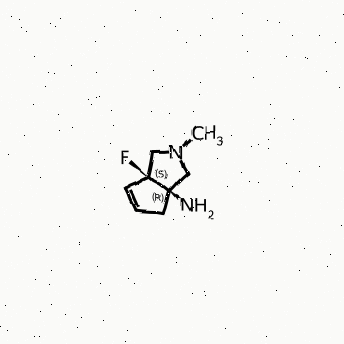 CN1C[C@]2(N)CC=C[C@]2(F)C1